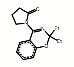 CCC1(CC)N=C(N2CCCC2=O)c2ccccc2O1